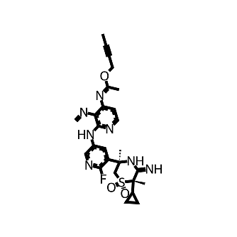 C=Nc1c(/N=C(\C)OCC#CC)ccnc1Nc1cnc(F)c([C@]2(C)CS(=O)(=O)[C@@](C)(C3CC3)C(=N)N2)c1